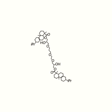 CC(C)C1CCC2=C(CCC3C(C)(C(=O)OCC(O)COCCCOCCOCC(O)COC(=O)C4(C)CCCC5(C)C6=C(CCC45)CC(C(C)C)CC6)CCCC23C)C1